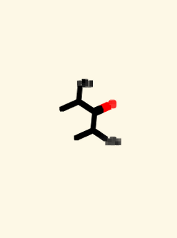 CCCCC(C)C(=O)C(C)CCCC